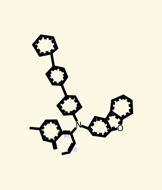 C=c1cc(C)cc/c1=C(/C=C\C)N(c1ccc(-c2ccc(-c3ccccc3)cc2)cc1)c1ccc2oc3ccccc3c2c1